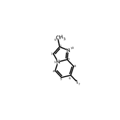 Cc1cn2ccc(I)cc2n1